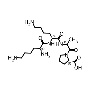 C[C@H](NC(=O)[C@H](CCCCN)NC(=O)[C@@H](N)CCCCN)C(=O)N1CCC[C@H]1C(=O)O